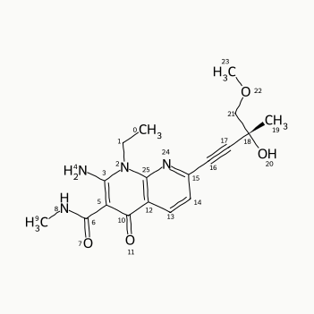 CCn1c(N)c(C(=O)NC)c(=O)c2ccc(C#C[C@@](C)(O)COC)nc21